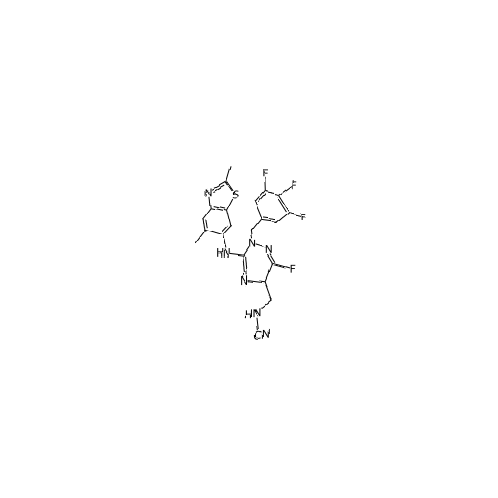 Cc1nc2cc(C)c(NC3=NC(CNC#N)C(F)=NN3Cc3cc(F)c(F)c(F)c3)cc2s1